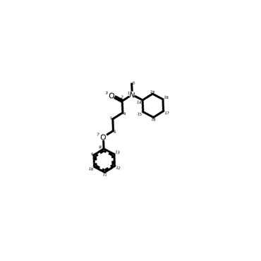 CN(C(=O)CCCOc1ccccc1)C1CCCCC1